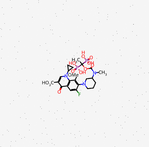 COc1c(N2CCCC(N(C)C(=O)OC(C)(P(=O)(O)O)P(=O)(O)O)C2)c(F)cc2c(=O)c(C(=O)O)cn(C3CC3)c12